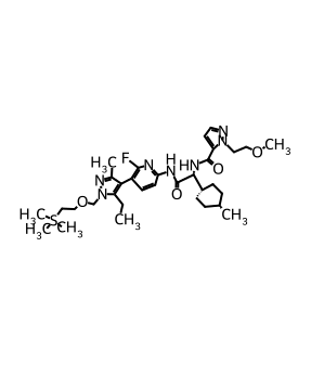 CCc1c(-c2ccc(NC(=O)[C@@H](NC(=O)c3ccnn3CCOC)[C@H]3CC[C@H](C)CC3)nc2F)c(C)nn1COCCS(C)(C)C